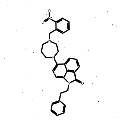 O=C1c2cccc3c(N4CCCN(Cc5ccccc5[N+](=O)[O-])CC4)ccc(c23)N1CCc1ccccc1